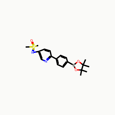 CC1(C)OB(c2ccc(-c3ccc(N=S(C)(C)=O)cn3)cc2)OC1(C)C